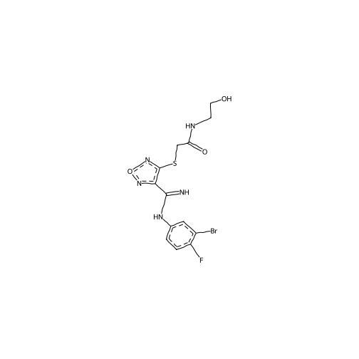 N=C(Nc1ccc(F)c(Br)c1)c1nonc1SCC(=O)NCCO